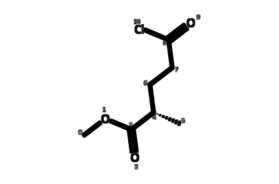 COC(=O)[C@@H](C)CCC(=O)Cl